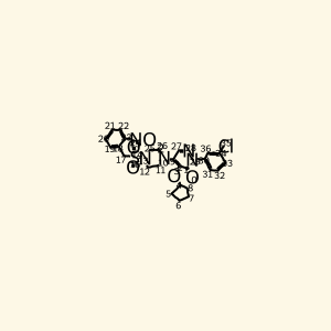 O=c1c(OC2CCCC2)c(N2CCN(S(=O)(=O)Cc3ccccc3[N+](=O)[O-])CC2)cnn1-c1cccc(Cl)c1